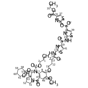 C=CCOC(=O)N1c2cc(OCCCC(=O)Nc3nc(C(=O)Nc4nc(C(=O)Oc5nc(C(=O)OCC)cs5)cs4)cs3)c(OC)cc2C(=O)N2CCC[C@H]2C1OC1CCCCO1